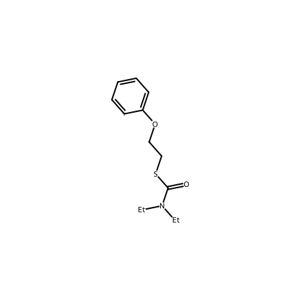 CCN(CC)C(=O)SCCOc1[c]cccc1